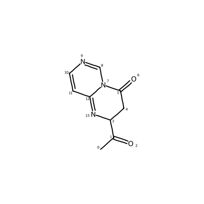 CC(=O)C1CC(=O)N2C=NC=CC2=N1